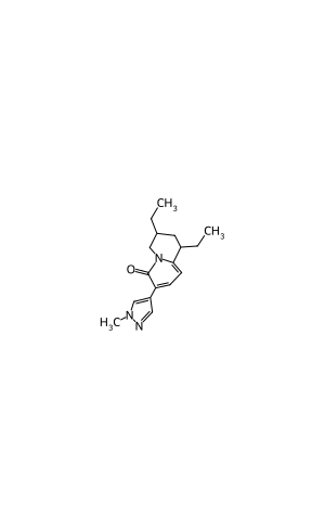 CCC1CC(CC)c2ccc(-c3cnn(C)c3)c(=O)n2C1